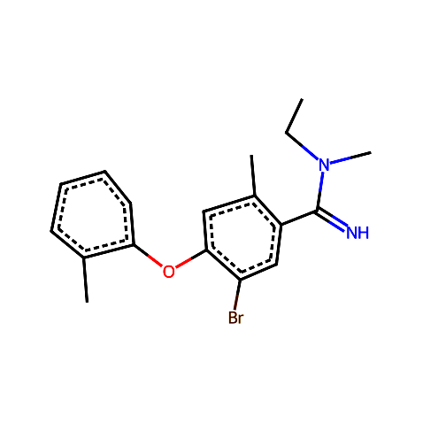 CCN(C)C(=N)c1cc(Br)c(Oc2ccccc2C)cc1C